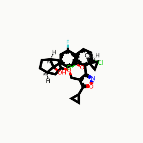 O=C(O)C1(Oc2cc(F)cc(C3(O)[C@@H]4CC[C@H]3CC(OCc3c(-c5c(Cl)cccc5Cl)noc3C3CC3)C4)c2)CC1